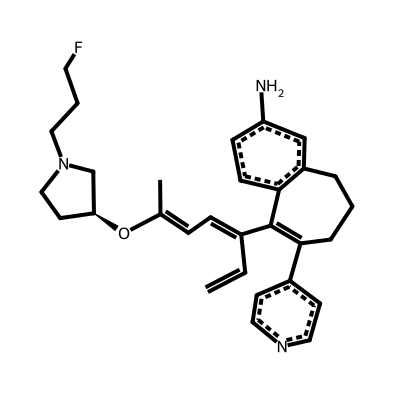 C=C/C(=C\C=C(/C)O[C@H]1CCN(CCCF)C1)C1=C(c2ccncc2)CCCc2cc(N)ccc21